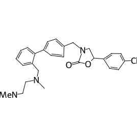 CNCCN(C)Cc1ccccc1-c1ccc(CN2CC(c3ccc(Cl)cc3)OC2=O)cc1